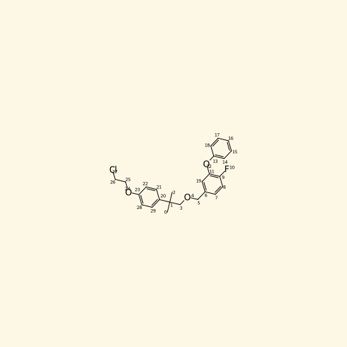 CC(C)(COCc1ccc(F)c(Oc2ccccc2)c1)c1ccc(OCCCl)cc1